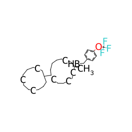 CC1(BCc2ccc(OC(F)(F)F)cc2)CCCCCCC(C2CCCCCCCCCCCC2)CCCCCC1